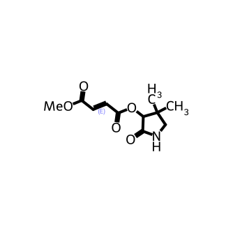 COC(=O)/C=C/C(=O)OC1C(=O)NCC1(C)C